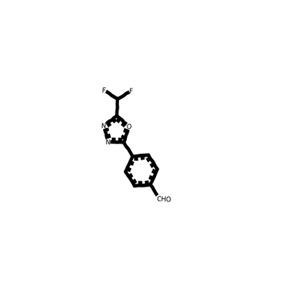 O=Cc1ccc(-c2nnc(C(F)F)o2)cc1